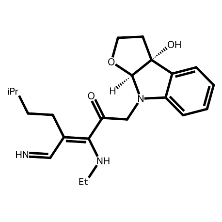 CCN/C(C(=O)CN1c2ccccc2[C@]2(O)CCO[C@H]12)=C(\C=N)CCC(C)C